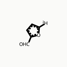 [2H]c1ccc(C=O)o1